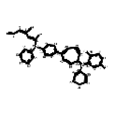 C=C/C=C(C)\C=C(/C)N(c1ccccc1)c1ccc(C2=CC#CC(N(C3=CCCC=C3)c3cc(C)ccc3C)C=C2)cc1